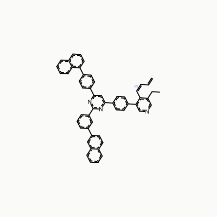 C=C/C=C\c1c(CC)cncc1-c1ccc(-c2cc(-c3ccc(-c4cccc5ccccc45)cc3)nc(-c3cccc(-c4ccc5ccccc5c4)c3)n2)cc1